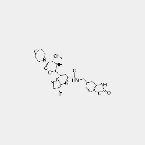 C[C@H](NC(=O)c1cc(C(=O)NCc2ccc3oc(=O)[nH]c3c2)nc2c(F)cnn12)C(=O)N1CCOCC1